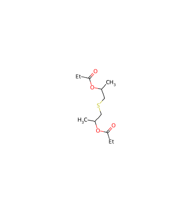 CCC(=O)OC(C)CSCC(C)OC(=O)CC